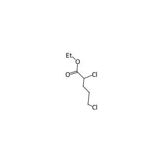 CCOC(=O)C(Cl)CCCCl